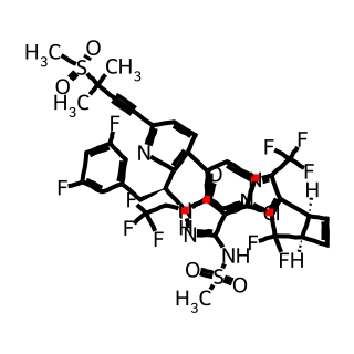 CC(C)(C#Cc1ccc(-c2ccc(Cl)c3c(NS(C)(=O)=O)nn(CC(F)(F)F)c23)c([C@H](Cc2cc(F)cc(F)c2)NC(=O)Cn2nc(C(F)(F)F)c3c2C(F)(F)[C@@H]2C=C[C@H]32)n1)S(C)(=O)=O